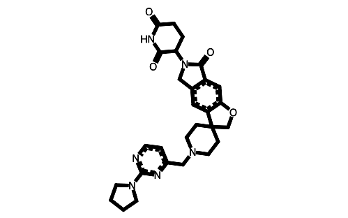 O=C1CCC(N2Cc3cc4c(cc3C2=O)OCC42CCN(Cc3ccnc(N4CCCC4)n3)CC2)C(=O)N1